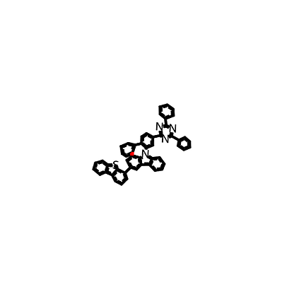 c1ccc(-c2nc(-c3ccccc3)nc(-c3ccc(-c4ccccc4)c(-n4c5ccccc5c5cc(-c6cccc7c6sc6ccccc67)ccc54)c3)n2)cc1